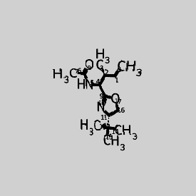 CC[C@H](C)C(NC(C)=O)C1=N[C@@H](C(C)(C)C)CO1